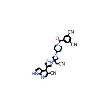 N#CCC1(n2cc(-c3c(C#N)cnc4[nH]ccc34)cn2)CN(C2CCN(C(=O)c3cc(C#N)cc(C#N)c3)CC2)C1